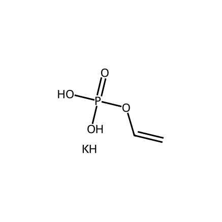 C=COP(=O)(O)O.[KH]